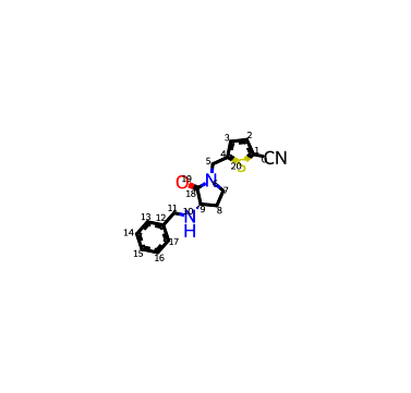 N#Cc1ccc(CN2CC[C@H](NCc3ccccc3)C2=O)s1